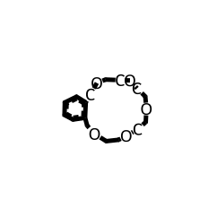 c1ccc2c(c1)COCCOCCOCCOCCOC2